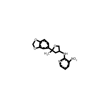 CC1(c2ccc3c(c2)OCO3)CC(Nc2ncccc2[N+](=O)[O-])CO1